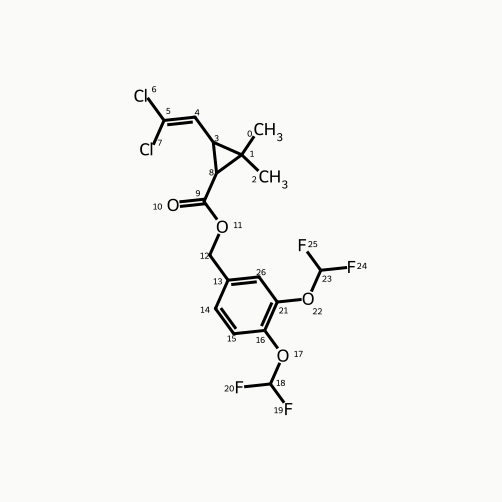 CC1(C)C(C=C(Cl)Cl)C1C(=O)OCc1ccc(OC(F)F)c(OC(F)F)c1